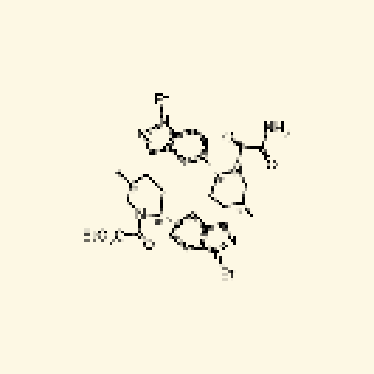 CCOC(=O)C(=O)N1C[C@@H](C)CC[C@@H]1c1ccc2c(cnn2CC)c1.CCn1ncc2cc([C@H]3CC[C@H](C)CN3C(=O)C(N)=O)ccc21